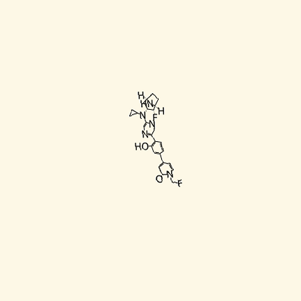 O=c1cc(-c2ccc(-c3cnc(N(C4CC4)[C@@H]4C[C@H]5CC[C@H](N5)[C@@H]4F)cn3)c(O)c2)ccn1CF